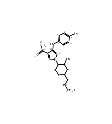 N#CC1CC(CNC(=O)O)CCC1n1cc(C(N)=O)c(Nc2ccc(F)cc2)n1